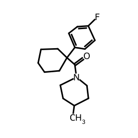 CC1CCN(C(=O)C2(c3ccc(F)cc3)CCCCC2)CC1